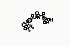 Cc1cccc(N2CCN(C(=O)Cn3nc(C(=O)N4C[C@H](O)[C@@H](O)C4)c4c3CCC4)CC2)c1C